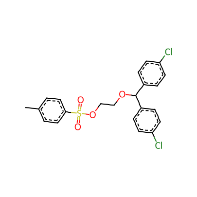 Cc1ccc(S(=O)(=O)OCCOC(c2ccc(Cl)cc2)c2ccc(Cl)cc2)cc1